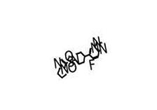 O=S(=O)(c1cnc2n1CCC2)N1CCC(c2cn3ncnc3cc2F)CC1